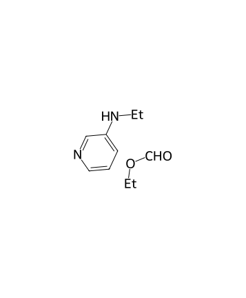 CCNc1cccnc1.CCOC=O